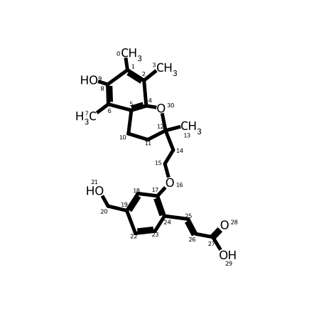 Cc1c(C)c2c(c(C)c1O)CCC(C)(CCOc1cc(CO)ccc1C=CC(=O)O)O2